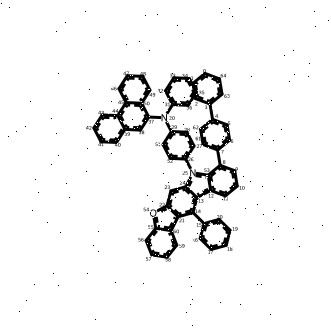 c1ccc(-c2ccc(-c3cccc4c5c(-c6ccccc6)c6c(cc5n(-c5ccc(N(c7ccccc7)c7cc8ccccc8c8ccccc78)cc5)c34)oc3ccccc36)cc2)cc1